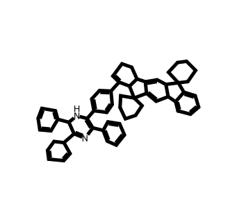 C1=CCC(C2=NC(c3ccccc3)=C(c3ccc(C4=CCCC5C6=CC7C(C=C6C6(CCCCC6)C45)c4ccccc4C74CCCCC4)cc3)NC2c2ccccc2)C=C1